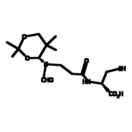 CC1(C)OCC(C)(C)[C@H](N(C=O)CCC(=O)N[C@@H](CS)C(=O)O)O1